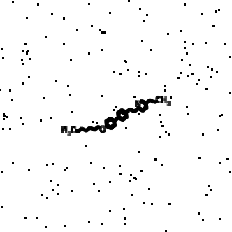 CCCCCCCOc1ccc(-c2ccc(CCc3ccc(CCC)cn3)cc2)cc1